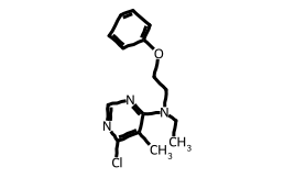 CCN(CCOc1ccccc1)c1ncnc(Cl)c1C